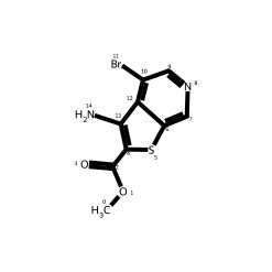 COC(=O)c1sc2cncc(Br)c2c1N